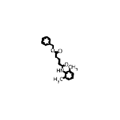 Cc1cccc(C)c1NC(=O)CCCC(=O)OCc1ccccc1